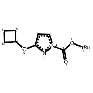 CC(C)(C)OC(=O)n1ccc(OC2CCC2)n1